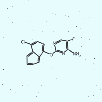 Nc1nc(Oc2ccc(Cl)c3ccccc23)ncc1F